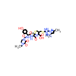 CCN1CCN(C(=O)NC(C(=O)NC2C(=O)N3C(C(=O)O)=C(CSc4nnc(-n5nc(C)cc5C)n4N)CS[C@@H]23)c2ccc(O)cc2)C(=O)C1=O